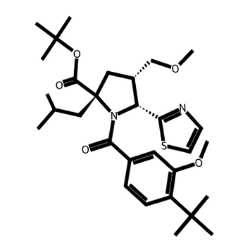 COC[C@H]1C[C@@](CC(C)C)(C(=O)OC(C)(C)C)N(C(=O)c2ccc(C(C)(C)C)c(OC)c2)[C@H]1c1nccs1